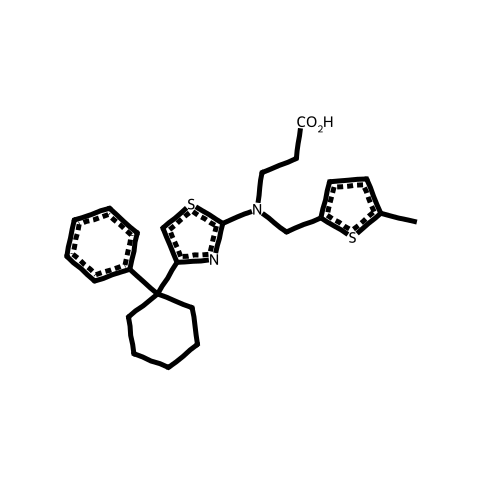 Cc1ccc(CN(CCC(=O)O)c2nc(C3(c4ccccc4)CCCCC3)cs2)s1